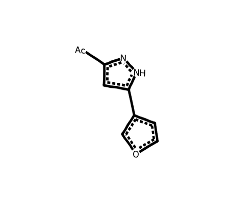 CC(=O)c1cc(-c2ccoc2)[nH]n1